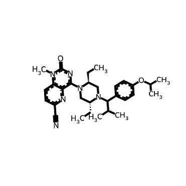 CC[C@H]1CN(C(c2ccc(OC(C)C)cc2)C(C)C)[C@H](CC)CN1c1nc(=O)n(C)c2ccc(C#N)nc12